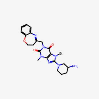 CCn1c(N2CCCC(N)C2)nc2c1c(=O)n(CC1=Nc3ccccc3OCC1)c(=O)n2C